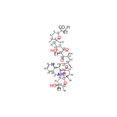 CCC(C(=O)O)C1CCC(C)C(C)(C(C)C(O)[C@H](C)C(=O)C(CC)C2O[C@]3(C=CC(NCc4cccnc4)C4(CCC(C)(C5CCC(O)(CC)C(C)O5)O4)O3)[C@H](C)C[C@@H]2C)O1